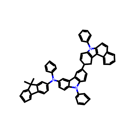 CC1(C)c2ccccc2-c2ccc(N(c3ccccc3)c3ccc4c(c3)c3cc(C5C=Cc6c(c7c8ccccc8ccc7n6-c6ccccc6)C5)ccc3n4-c3ccccc3)cc21